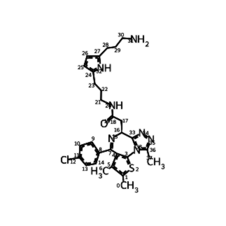 Cc1sc2c(c1C)C(c1ccc(Cl)cc1)=N[C@@H](CC(=O)NCCCc1ccc(CCCN)[nH]1)c1nnc(C)n1-2